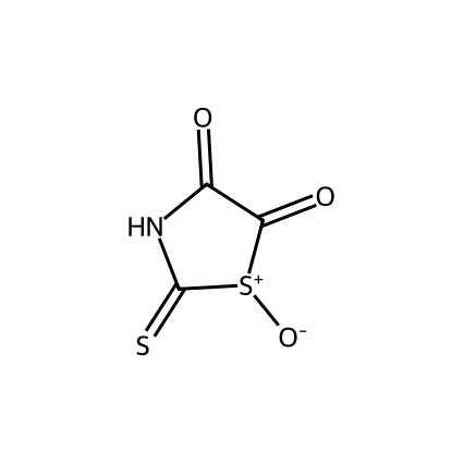 O=C1NC(=S)[S+]([O-])C1=O